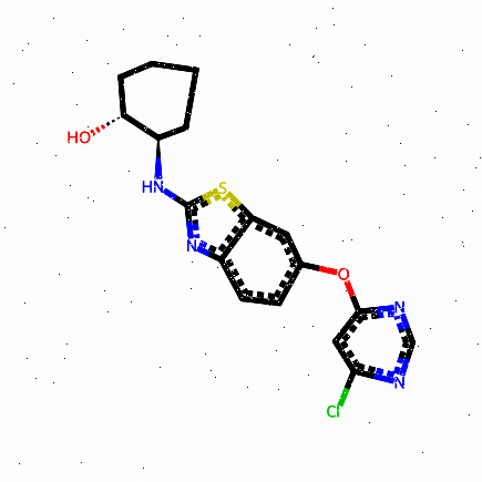 O[C@@H]1CCCC[C@H]1Nc1nc2ccc(Oc3cc(Cl)ncn3)cc2s1